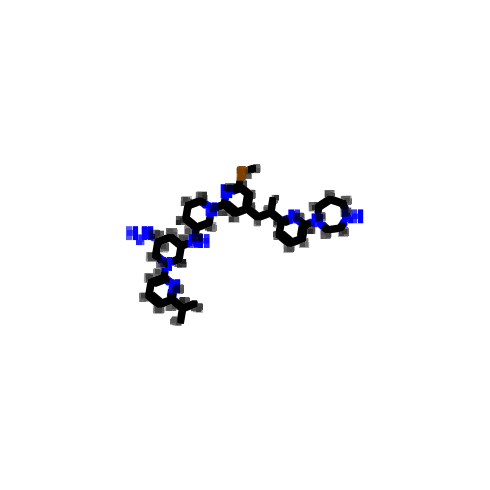 CSc1cc(CC(C)c2cccc(N3CCCNCC3)n2)cc(N2CCCC(NC3C[C@@H](N)CN(c4cccc(C(C)C)n4)C3)C2)n1